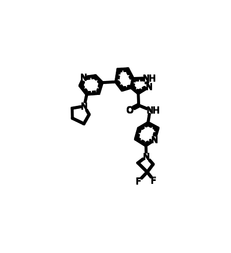 O=C(Nc1ccc(N2CC(F)(F)C2)nc1)c1n[nH]c2ccc(-c3cncc(N4CCCC4)c3)cc12